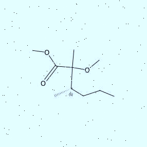 CCC[C@H](C)C(C)(OC)C(=O)OC